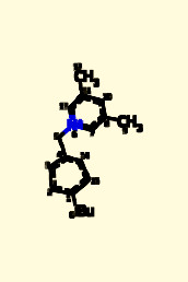 CCC(C)c1ccc(C[n+]2cc(C)cc(C)c2)cc1